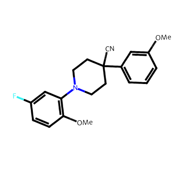 COc1cccc(C2(C#N)CCN(c3cc(F)ccc3OC)CC2)c1